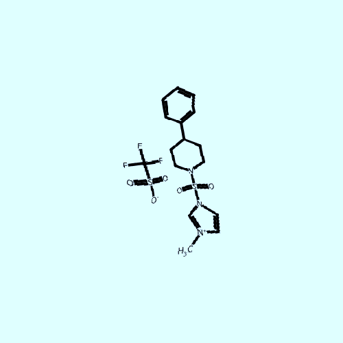 C[n+]1ccn(S(=O)(=O)N2CCC(c3ccccc3)CC2)c1.O=S(=O)([O-])C(F)(F)F